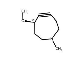 CO[C@H]1C#CCCN(C)CC1